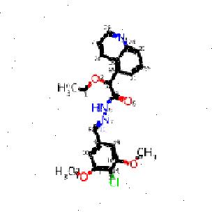 CCOC(C(=O)N/N=C/c1cc(OC)c(Cl)c(OC)c1)c1cccc2ncccc12